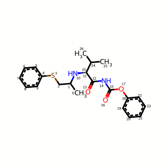 CC(CSc1ccccc1)N[C@H](C(=O)NC(=O)Oc1ccccc1)C(C)C